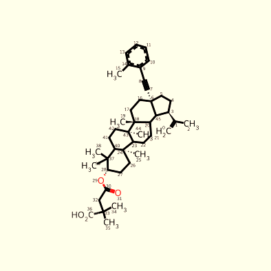 C=C(C)[C@@H]1CC[C@]2(C#Cc3ccccc3C)CC[C@]3(C)C(CCC4[C@@]5(C)CC[C@H](OC(=O)CC(C)(C)C(=O)O)C(C)(C)C5CC[C@]43C)C12